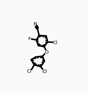 N#Cc1cc(Cl)c(Oc2ccc(Cl)c(Cl)c2)cc1F